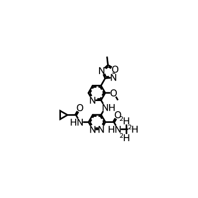 [2H]C([2H])([2H])NC(=O)c1nnc(NC(=O)C2CC2)cc1Nc1nccc(-c2noc(C)n2)c1OC